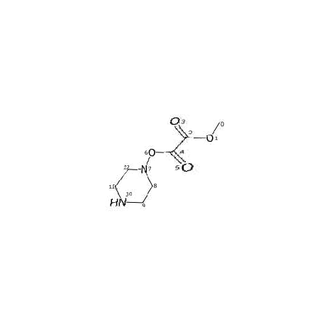 COC(=O)C(=O)ON1CCNCC1